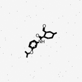 CC1CCC(C(=O)Nc2cccc(OC(C)C)c2)C(C=O)C1